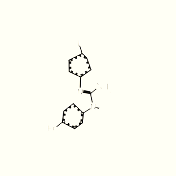 CCc1ccc(N(C)C(N)=Nc2ccc(I)cc2)cc1